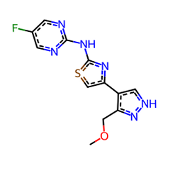 COCc1n[nH]cc1-c1csc(Nc2ncc(F)cn2)n1